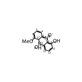 COC1=CC=CC2=[N+]([O-])c3c(O)cccc3[NH+]([O-])C12